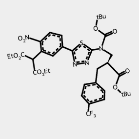 CCOC(=O)C(C(=O)OCC)c1cc(-c2nnc(N(C[C@H](Cc3ccc(C(F)(F)F)cc3)C(=O)OC(C)(C)C)C(=O)OC(C)(C)C)s2)ccc1[N+](=O)[O-]